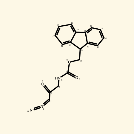 [N-]=[N+]=CC(=O)CNC(=O)OCC1c2ccccc2-c2ccccc21